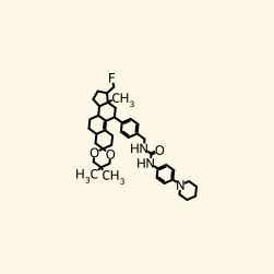 CC1(C)COC2(CCC3=C4C(c5ccc(CNC(=O)Nc6ccc(N7CCCCC7)cc6)cc5)CC5(C)C(CF)CCC5C4CCC3C2)OC1